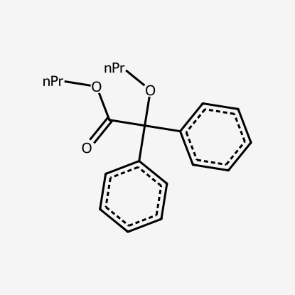 CCCOC(=O)C(OCCC)(c1ccccc1)c1ccccc1